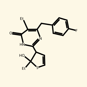 CCc1c(Cc2ccc(F)cc2)nc(C2C=CSC2(O)CC)[nH]c1=O